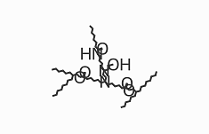 CCCCCCCCC(CCCCCC)COC(=O)CCCCCN(CCCCCC(=O)OCC(CCCCCC)CCCCCCCC)CCN(CCO)CCCCNC(=O)CCCCCCC